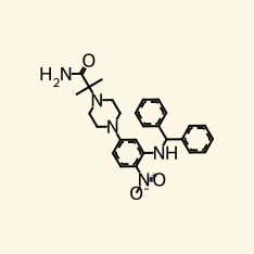 CC(C)(C(N)=O)N1CCN(c2ccc([N+](=O)[O-])c(NC(c3ccccc3)c3ccccc3)c2)CC1